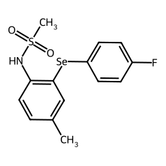 Cc1ccc(NS(C)(=O)=O)c([Se]c2ccc(F)cc2)c1